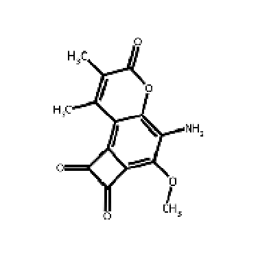 COc1c(N)c2oc(=O)c(C)c(C)c2c2c(=O)c(=O)c12